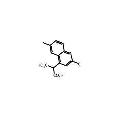 Cc1ccc2nc(Cl)cc(C(C(=O)O)C(=O)O)c2c1